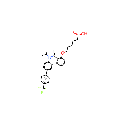 [2H]C(c1ccccc1OCCCCCC(=O)O)N(c1ccc(C23CCC(C(F)(F)F)(CC2)CC3)cc1)C(C)C